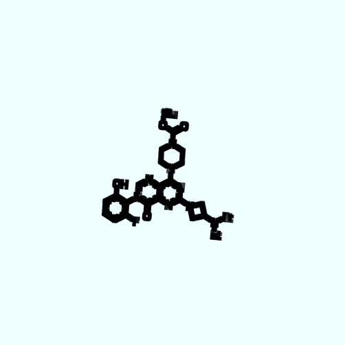 CCN(CC)C1CN(c2nc(N3CCN(C(=O)OC(C)(C)C)CC3)c3ncn(-c4c(O)cccc4F)c(=O)c3n2)C1